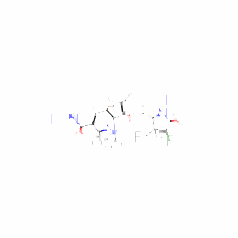 CC[C@@H]1[C@H](F)C(=O)N[C@@H]1COc1c(C)sc2cc(C(N)=O)c(OC)nc12